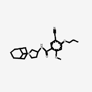 CCCOc1cc(OC)c(C(=O)NC2CCN(C3C4CCCC3CCC4)C2)cc1C#N